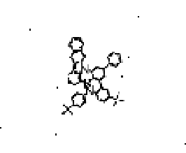 CC(C)(C)c1ccc(N2B3c4c(cc(-c5ccccc5)cc4-n4c5cc6ccccc6cc5c5cccc3c54)-c3cc(C(C)(C)C)ccc32)cc1